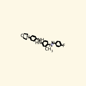 Cc1cc(NNc2ccc(N3CCOCC3)cc2)ccc1/N=N/c1ccc(F)cc1